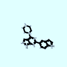 c1cc2cc(-c3nc(N4CCOCC4)c4cn[nH]c4n3)ccc2[nH]1